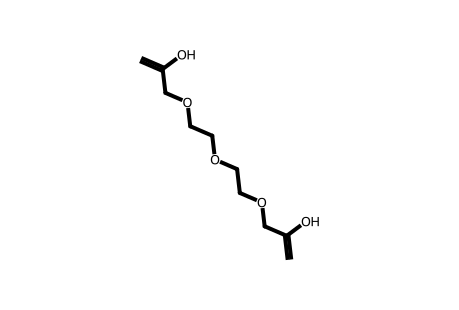 C=C(O)COCCOCCOCC(=C)O